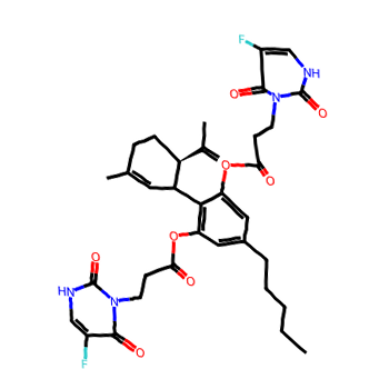 C=C(C)[C@@H]1CCC(C)=CC1c1c(OC(=O)CCn2c(=O)[nH]cc(F)c2=O)cc(CCCCC)cc1OC(=O)CCn1c(=O)[nH]cc(F)c1=O